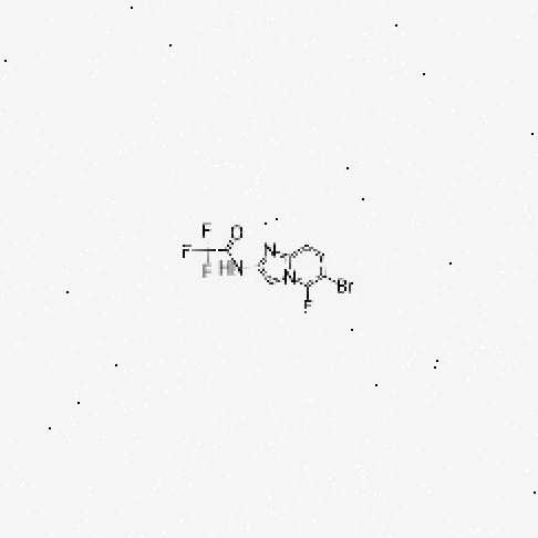 O=C(Nc1cn2c(F)c(Br)ccc2n1)C(F)(F)F